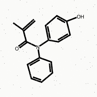 C=C(C)C(=O)N(c1ccccc1)c1ccc(O)cc1